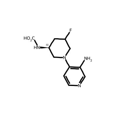 Nc1cnccc1N1CC(F)C[C@H](NC(=O)O)C1